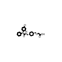 O=C(O)COC[C@H]1CC[C@H](CNC(=O)N(c2ccccc2)c2ccc(Cl)cc2)CC1